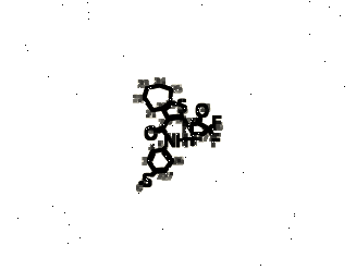 CSc1ccc(NC(=O)c2c(NC(=O)C(F)(F)F)sc3c2CCCCC3)cc1